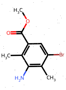 COC(=O)c1cc(Br)c(C)c(N)c1C